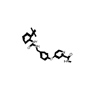 CNC(=O)c1cc(Oc2ccc(CNC(=O)Nc3ccccc3C(C)(C)C)cc2)ccn1